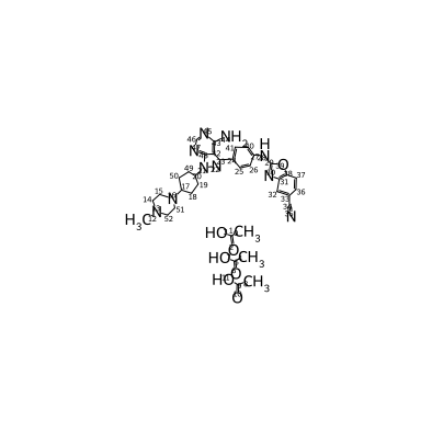 CC(=O)O.CC(=O)O.CC(=O)O.CN1CCN(C2CCC(n3nc(-c4ccc(Nc5nc6cc(C#N)ccc6o5)cc4)c4c(N)ncnc43)CC2)CC1